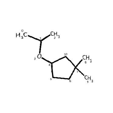 CC(C)OC1CCC(C)(C)C1